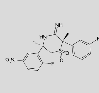 C[C@@]1(c2cc([N+](=O)[O-])ccc2F)CS(=O)(=O)[C@@](C)(c2cccc(F)c2)C(=N)N1